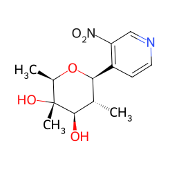 C[C@@H]1[C@@H](O)[C@](C)(O)[C@@H](C)O[C@H]1c1ccncc1[N+](=O)[O-]